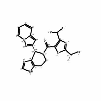 C[C@@H](O)c1nc(C(F)F)c(C(=O)N2CCc3[nH]cnc3[C@@H]2c2cc3ccccn3n2)o1